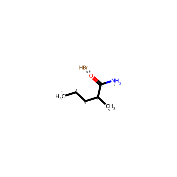 Br.CCCC(C)C(N)=O